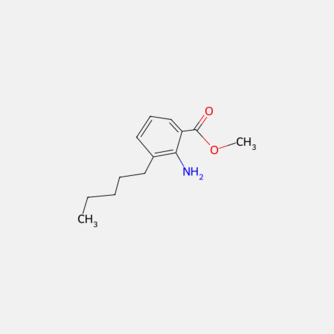 CCCCCc1cccc(C(=O)OC)c1N